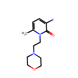 Cc1ccc(I)c(=O)n1CCN1CCOCC1